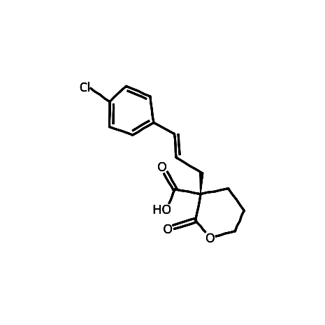 O=C(O)[C@]1(C/C=C/c2ccc(Cl)cc2)CCCOC1=O